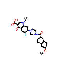 CCn1cc(C(=O)O)c(=O)c2cc(F)c(N3CCN(C(=O)C4CCc5cc(OC)ccc5C4)CC3)cc21